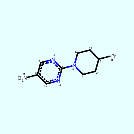 CC(C)C1CCN(c2ncc([N+](=O)[O-])cn2)CC1